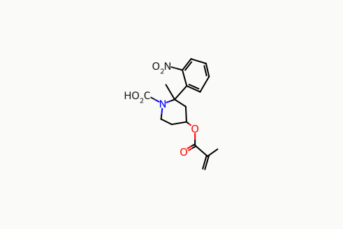 C=C(C)C(=O)OC1CCN(C(=O)O)C(C)(c2ccccc2[N+](=O)[O-])C1